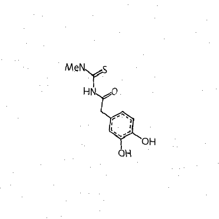 CNC(=S)NC(=O)Cc1ccc(O)c(O)c1